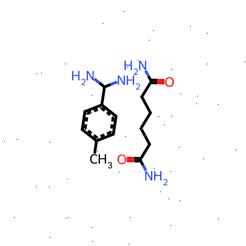 Cc1ccc(C(N)N)cc1.NC(=O)CCCCC(N)=O